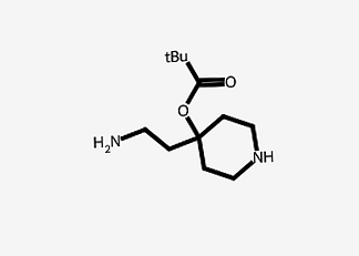 CC(C)(C)C(=O)OC1(CCN)CCNCC1